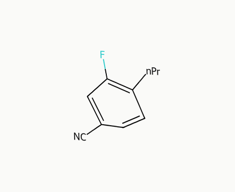 CCCc1ccc(C#N)cc1F